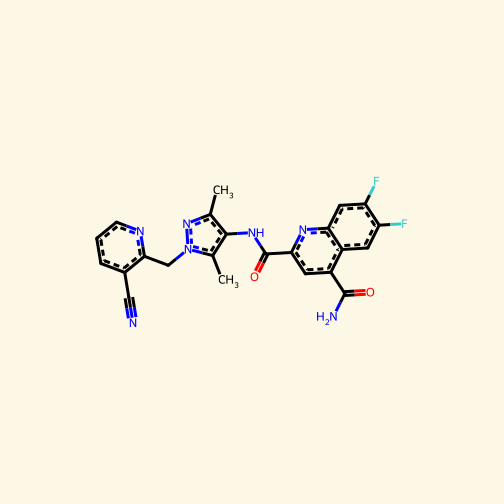 Cc1nn(Cc2ncccc2C#N)c(C)c1NC(=O)c1cc(C(N)=O)c2cc(F)c(F)cc2n1